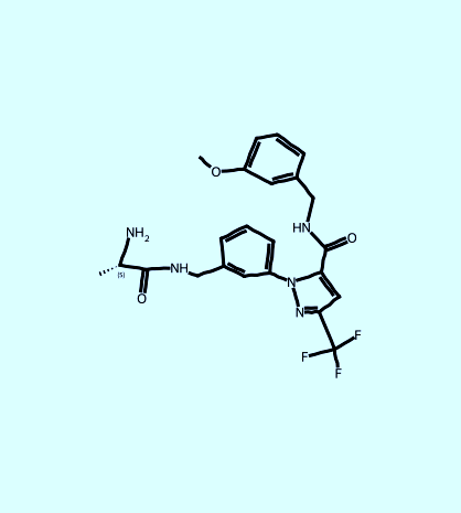 COc1cccc(CNC(=O)c2cc(C(F)(F)F)nn2-c2cccc(CNC(=O)[C@H](C)N)c2)c1